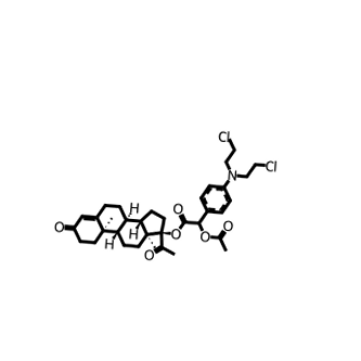 CC(=O)OC(C(=O)O[C@]1(C(C)=O)CC[C@H]2[C@@H]3CCC4=CC(=O)CC[C@]4(C)[C@H]3CC[C@@]21C)c1ccc(N(CCCl)CCCl)cc1